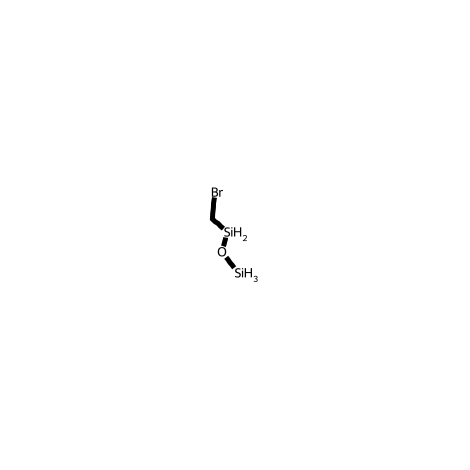 [SiH3]O[SiH2]CBr